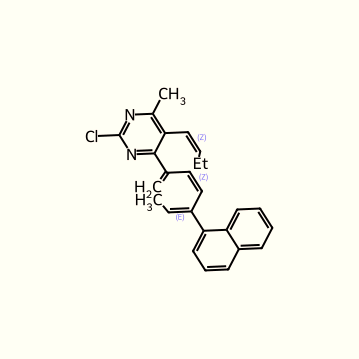 C=C(/C=C\C(=C/C)c1cccc2ccccc12)c1nc(Cl)nc(C)c1/C=C\CC